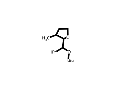 CC(C)C(OC(C)(C)C)C1OCCC1C